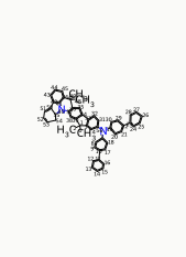 CC1(C)c2cc(N(c3ccc(-c4ccccc4)cc3)c3ccc(-c4ccccc4)cc3)ccc2-c2cc3c(cc21)N1c2c(cccc2C3(C)C)C2=CC=CCC21